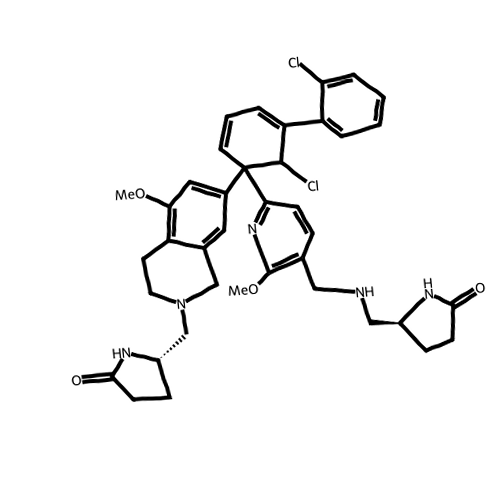 COc1cc(C2(c3ccc(CNC[C@@H]4CCC(=O)N4)c(OC)n3)C=CC=C(c3ccccc3Cl)C2Cl)cc2c1CCN(C[C@@H]1CCC(=O)N1)C2